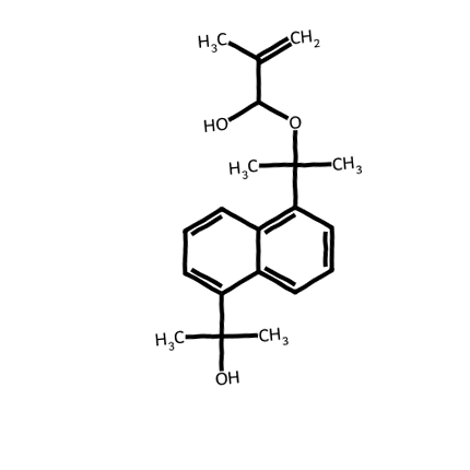 C=C(C)C(O)OC(C)(C)c1cccc2c(C(C)(C)O)cccc12